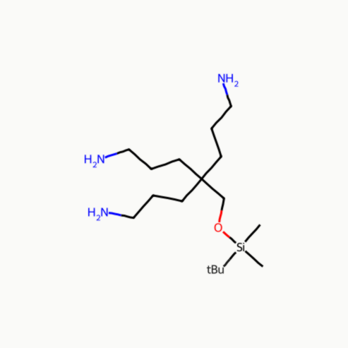 CC(C)(C)[Si](C)(C)OCC(CCCN)(CCCN)CCCN